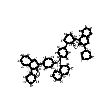 c1ccc(-c2cc3ccccc3c3c2oc2c(-c4ccc(N(c5ccc(-c6cc7ccccc7c7c6oc6ccccc67)cc5)c5cccc6ccccc56)cc4)cccc23)cc1